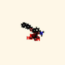 CN(C)CCC1CCc2cc(OCc3ccc(-c4ccccc4)cc3)ccc2C1OC(=O)CC(O)(CC(=O)O)C(=O)O